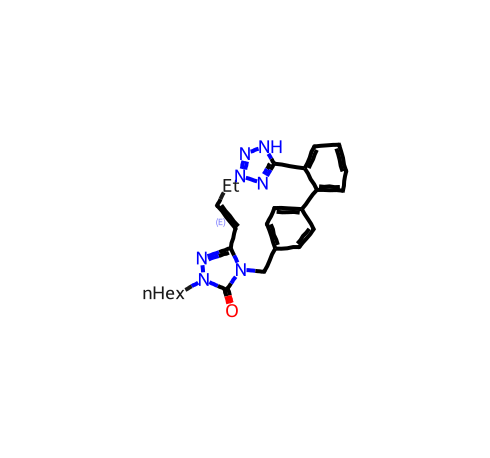 CC/C=C/c1nn(CCCCCC)c(=O)n1Cc1ccc(-c2ccccc2-c2nnn[nH]2)cc1